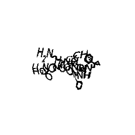 CC(C)C[C@@H](NC(=O)[C@@H](Cc1ccccc1)NC(=O)CNCC1(c2ccccc2)CC1)C(=O)N[C@H](CCCCN)C(=O)N1CCC(N)(C(=O)O)CC1